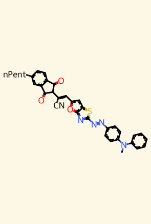 CCCCCc1ccc2c(c1)C(=O)C(/C(C#N)=C/c1cc3sc(/N=N/c4ccc(N(C)c5ccccc5)cc4)nc3o1)C2=O